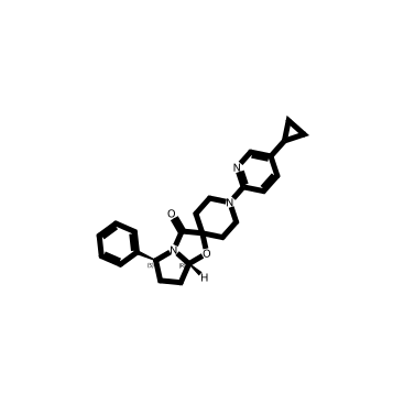 O=C1N2[C@@H](CC[C@H]2c2ccccc2)OC12CCN(c1ccc(C3CC3)cn1)CC2